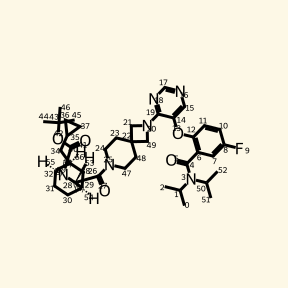 CC(C)N(C(=O)c1cc(F)ccc1Oc1cncnc1N1CC2(CCN(C(=O)[C@@H]3[C@@H]4CC[C@@H]([C@@H](CC5CC5)C4)N3C(=O)OC(C)(C)C)CC2)C1)C(C)C